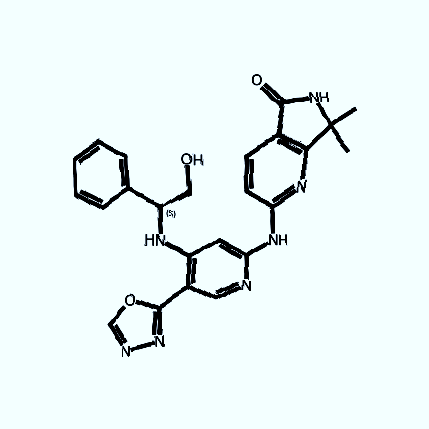 CC1(C)NC(=O)c2ccc(Nc3cc(N[C@H](CO)c4ccccc4)c(-c4nnco4)cn3)nc21